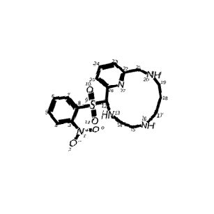 O=[N+]([O-])c1ccccc1S(=O)(=O)C1NCCNCCCNCc2cccc1n2